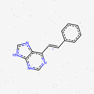 C(=C\c1ncnc2[nH]cnc12)/c1ccccc1